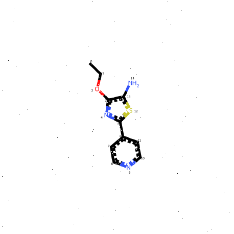 CCOc1nc(-c2ccncc2)sc1N